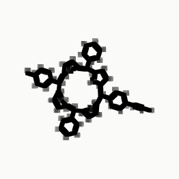 CC#Cc1ccc(-c2c3nc(c(-c4ccccc4)c4ccc([nH]4)c(-c4ccc(C)cc4)c4nc(c(-c5ccccc5)c5ccc2[nH]5)C=C4)C=C3)cc1